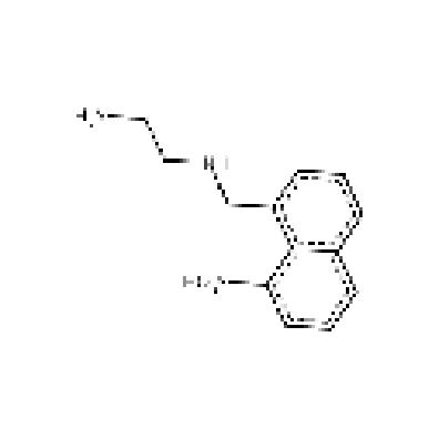 NCCNCc1cccc2cccc(S(=O)(=O)O)c12